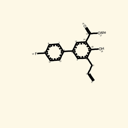 C=CCc1cc(-c2ccc(F)cc2)cc(C(=O)OC)c1O